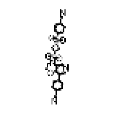 N#Cc1ccc(-c2cncc3c2OCCN3S(=O)(=O)C2CN(S(=O)(=O)c3ccc(C#N)cc3)C2)cc1